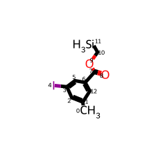 Cc1cc(I)cc(C(=O)OC[SiH3])c1